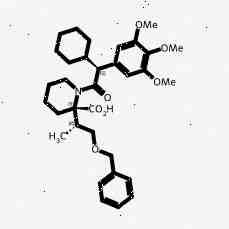 COc1cc([C@@H](C(=O)N2CCCC[C@@]2(C(=O)O)[C@@H](C)COCc2ccccc2)C2CCCCC2)cc(OC)c1OC